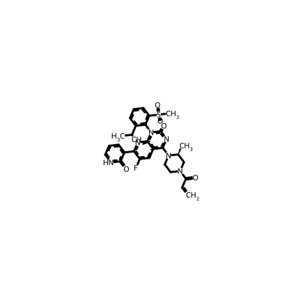 C=CC(=O)N1CCN(c2nc(=O)n(-c3c(C(C)C)cccc3S(C)(=O)=O)c3nc(-c4ccc[nH]c4=O)c(F)cc23)[C@@H](C)C1